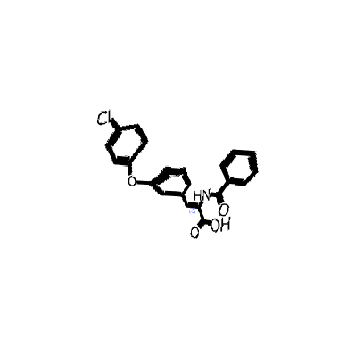 O=C(O)/C(=C/c1cccc(Oc2ccc(Cl)cc2)c1)NC(=O)c1ccccc1